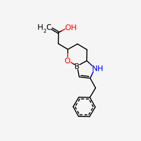 C=C(O)CC1CCC2NC(Cc3ccccc3)=CB2O1